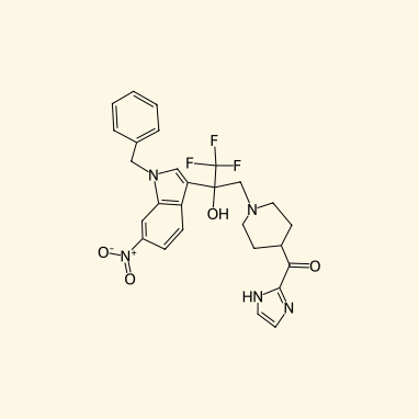 O=C(c1ncc[nH]1)C1CCN(CC(O)(c2cn(Cc3ccccc3)c3cc([N+](=O)[O-])ccc23)C(F)(F)F)CC1